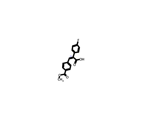 COC(=O)c1ccc(/C=C(\C(=O)O)c2ccc(F)cc2)cc1